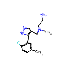 Cc1ccc(F)c(-c2[nH]ncc2CN(C)CCN)c1